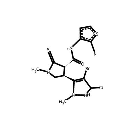 CN1C[C@H](C2=C(Br)C(Cl)NN2C)[C@@H](C(=O)Nc2ccsc2F)C1=S